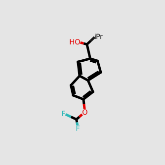 CC(C)C(O)c1ccc2cc(OC(F)F)ccc2c1